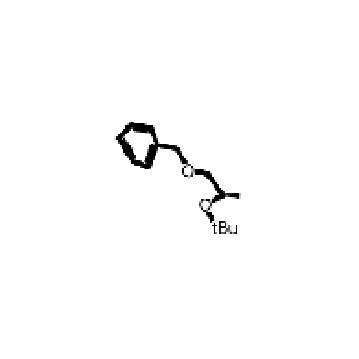 C[C@H](COCc1ccccc1)OC(C)(C)C